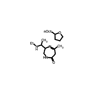 CCCCCCCCC1CCCO1.CCNC(C)C1CNC(=O)CC(C)=N1